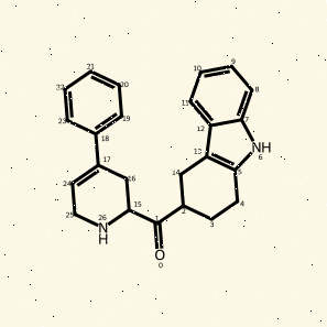 O=C(C1CCc2[nH]c3ccccc3c2C1)C1CC(c2ccccc2)=CCN1